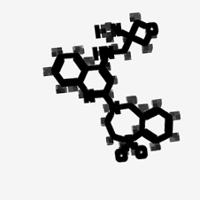 NC1(CNc2cc(N3CCS(=O)(=O)c4ccccc4C3)nc3ccccc23)COC1